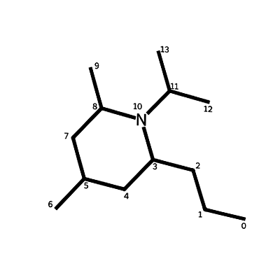 CCCC1CC(C)CC(C)N1C(C)C